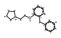 c1ccc(Cc2ncccc2OCCN2CCCC2)cc1